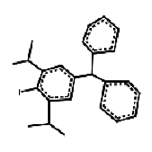 CC(C)c1cc(C(c2ccccc2)c2ccccc2)cc(C(C)C)c1I